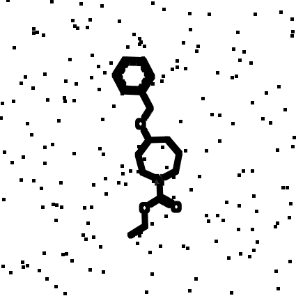 CCOC(=O)N1CCCC(OCc2ccccc2)CC1